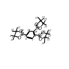 CC1(C)OB(c2ccc(B3OC(C)(C)C(C)(C)O3)c(B3OC(C)(C)C(C)(C)O3)c2)OC1(C)C